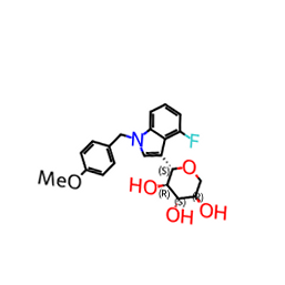 COc1ccc(Cn2cc([C@@H]3OC[C@@H](O)[C@H](O)[C@H]3O)c3c(F)cccc32)cc1